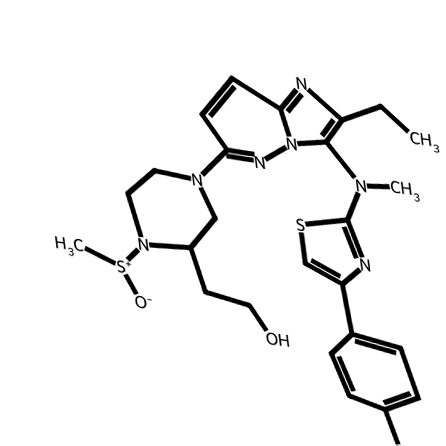 CCc1nc2ccc(N3CCN([S+](C)[O-])C(CCO)C3)nn2c1N(C)c1nc(-c2ccc(F)cc2)cs1